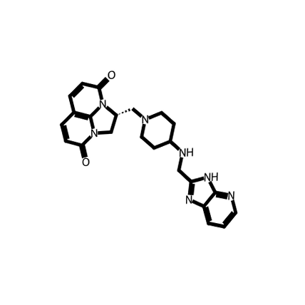 O=c1ccc2ccc(=O)n3c2n1C[C@H]3CN1CCC(NCc2nc3cccnc3[nH]2)CC1